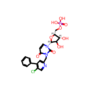 O=c1ccn([C@@H]2O[C@H](COP(=O)(O)O)[C@H](O)C2O)c(=O)n1Cc1cc(-c2ccccc2)c(Cl)cn1